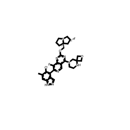 Cc1cc2[nH]ncc2c(-c2ncc3c(N4CCNC5(COC5)C4)nc(OC[C@@]45CCCN4C[C@H](F)C5)nc3c2F)c1Cl